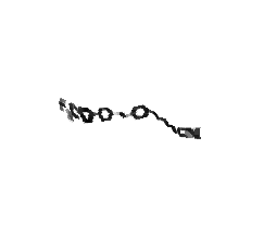 N#C/C=C/C=C/CC[C@H]1CC[C@H](CC[C@H]2CC[C@H](c3ccc(C(F)(F)F)cc3)CC2)CC1